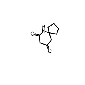 O=C1CC(=O)NC2(CCCC2)C1